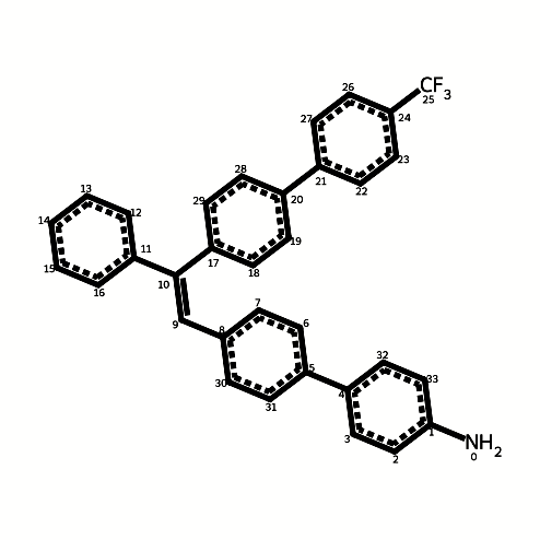 Nc1ccc(-c2ccc(C=C(c3ccccc3)c3ccc(-c4ccc(C(F)(F)F)cc4)cc3)cc2)cc1